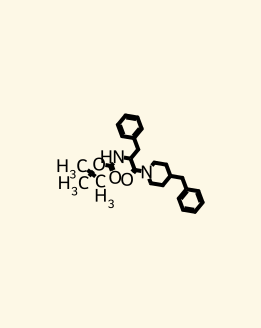 CC(C)(C)OC(=O)NC(Cc1ccccc1)C(=O)N1CCC(Cc2ccccc2)CC1